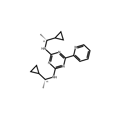 C[C@@H](Nc1nc(N[C@H](C)C2CC2)nc(-c2ccccn2)n1)C1CC1